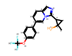 CC1(P)CC1c1ncc2ccc(-c3ccc(OC(F)(F)F)cc3)cn12